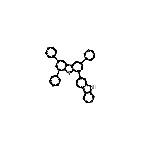 c1ccc(-c2cc(-c3ccccc3)c3sc4c(-c5ccc6c(c5)[nH]c5ccccc56)cc(-c5ccccc5)cc4c3c2)cc1